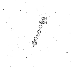 CCc1cnc(N2CCC(COc3ccc(C4=CCC(C(=O)N[C@H](C)CO)CC4)cc3)CC2)nc1